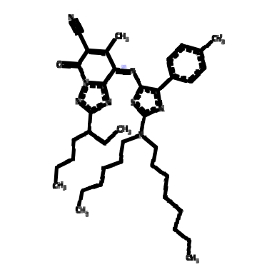 CCCCCCCCN(CCCCCC)c1nc(-c2ccc(C)cc2)c(/N=C2/C(C)=C(C#N)C(=O)n3nc(C(CC)CCCC)nc32)s1